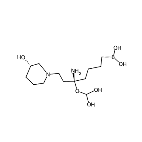 N[C@](CCCCB(O)O)(CCN1CCC[C@H](O)C1)OC(O)O